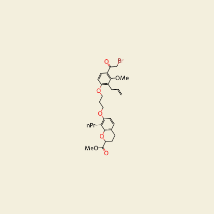 C=CCc1c(OCCCOc2ccc3c(c2CCC)OC(C(=O)OC)CC3)ccc(C(=O)CBr)c1OC